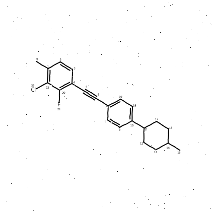 Cc1ccc(C#Cc2ccc(C3CCC(C)CC3)cc2)c(F)c1Cl